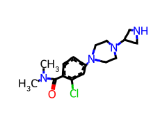 CN(C)C(=O)c1ccc(N2CCN(C3CNC3)CC2)cc1Cl